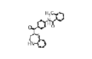 Cc1ccccc1C(=O)Nc1ccc(C(=O)C2CCNc3ccccc3S2)cc1